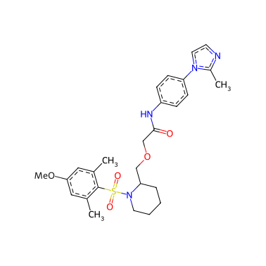 COc1cc(C)c(S(=O)(=O)N2CCCCC2COCC(=O)Nc2ccc(-n3ccnc3C)cc2)c(C)c1